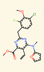 C=Cc1c(C(=O)OC)nc(Cc2ccc(Cl)c(OC)c2F)nc1N(C)c1ccco1